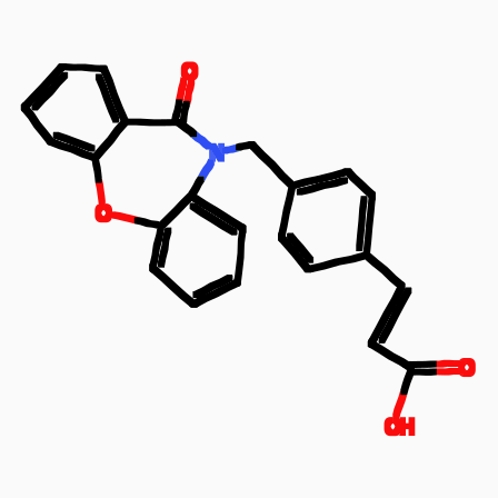 O=C(O)C=Cc1ccc(CN2C(=O)c3ccccc3Oc3ccccc32)cc1